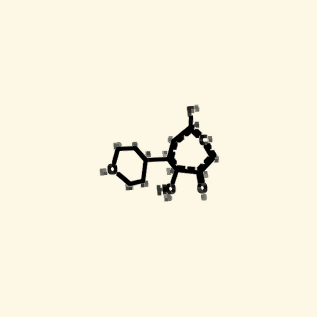 O=c1ccc(F)cc(C2CCOCC2)c1O